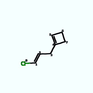 ClC=CCC1=CCC1